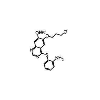 COc1cc2ncnc(Sc3ccccc3N)c2cc1OCCCCl